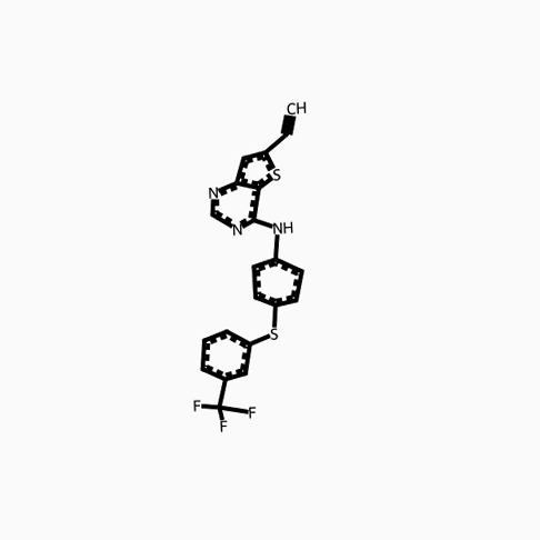 C#Cc1cc2ncnc(Nc3ccc(Sc4cccc(C(F)(F)F)c4)cc3)c2s1